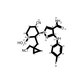 N#CCC1(CC2[C@H](n3cc(C(N)=O)c(Nc4ccc(F)cc4)n3)[C@@H](C#N)CCN2C(=O)O)CC1